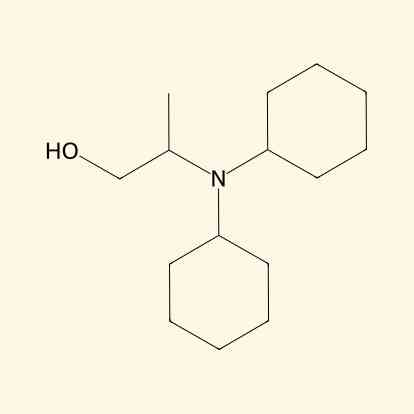 CC(CO)N(C1CCCCC1)C1CCCCC1